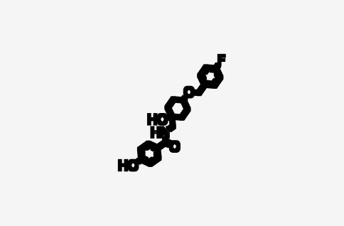 O=C(NCC1(O)CCC(OCc2ccc(F)cc2)CC1)c1ccc(O)cc1